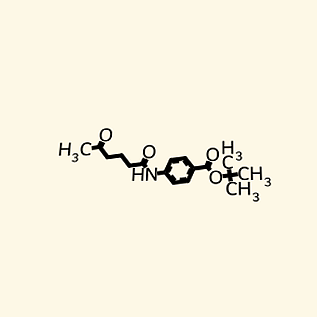 CC(=O)CCCC(=O)Nc1ccc(C(=O)OC(C)(C)C)cc1